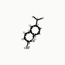 CC(C)c1ccc2nc(Br)ccc2c1